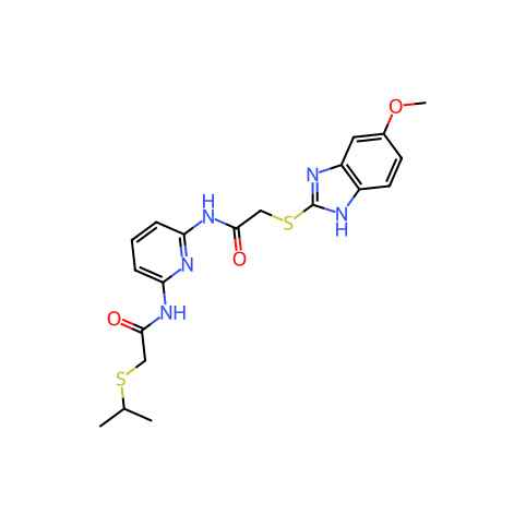 COc1ccc2[nH]c(SCC(=O)Nc3cccc(NC(=O)CSC(C)C)n3)nc2c1